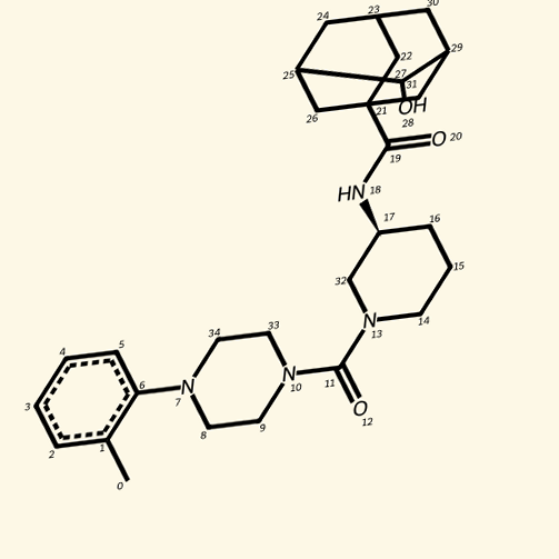 Cc1ccccc1N1CCN(C(=O)N2CCC[C@H](NC(=O)C34CC5CC(C3)C(O)C(C5)C4)C2)CC1